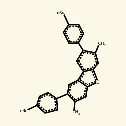 CCCCc1ccc(-c2cc3c(cc2C)oc2cc(C)c(-c4ccc(CCCC)cc4)cc23)cc1